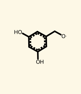 [O]Cc1cc(O)cc(O)c1